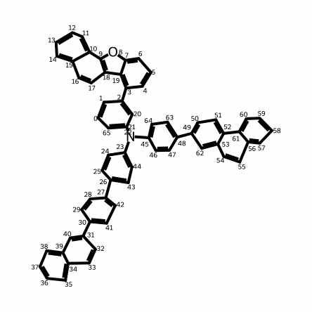 c1cc(-c2cccc3oc4c5ccccc5ccc4c23)cc(N(c2ccc(-c3ccc(-c4ccc5ccccc5c4)cc3)cc2)c2ccc(-c3ccc4c(ccc5ccccc54)c3)cc2)c1